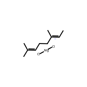 C/C=C(\C)CCC=C(C)C.[Cl][Mg][Cl]